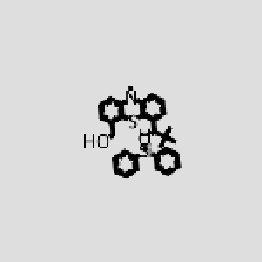 CN1c2cccc(CO)c2Sc2c(C(O[SiH](c3ccccc3)c3ccccc3)C(C)(C)C)cccc21